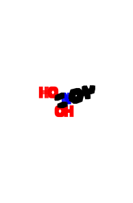 CCC(C)(C)c1ccc(N(CCO)CCO)cc1